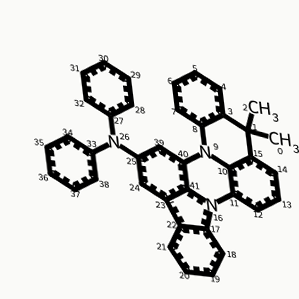 CC1(C)c2ccccc2N2c3c(cccc31)-n1c3ccccc3c3cc(N(c4ccccc4)c4ccccc4)cc2c31